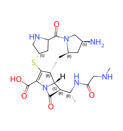 CNCC(=O)N[C@H](C)[C@H]1C(=O)N2C(C(=O)O)=C(S[C@@H]3CNC(C(=O)N4C[C@@H](N)C[C@H]4C)C3)[C@H](C)[C@H]12